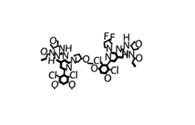 C=CC(=O)N[C@H]1COC[C@H]1Nc1ncc2cc(-c3c(Cl)c(OC)cc(OC)c3Cl)nc(N3CCC(OCCOc4cc(OC)c(Cl)c(-c5cc6cnc(N[C@@H]7COC[C@@H]7NC(=O)C=C)nc6c(N6CCC(F)(F)C6)n5)c4Cl)C3)c2n1